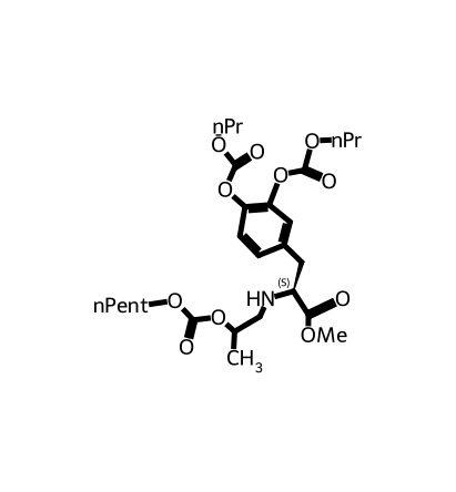 CCCCCOC(=O)OC(C)CN[C@@H](Cc1ccc(OC(=O)OCCC)c(OC(=O)OCCC)c1)C(=O)OC